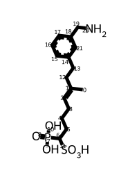 C/C(=C\CCCC(P(=O)(O)O)S(=O)(=O)O)CCc1cccc(CN)c1